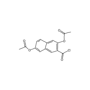 CC(=O)Oc1ccc2cc(OC(C)=O)c(C(=O)Cl)cc2c1